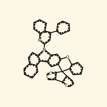 c1ccc(-c2cc(-n3c4cc5c(cc4c4c6ccccc6ccc43)C3(c4ccccc4O5)c4ccccc4-c4ccccc43)nc3ccccc23)cc1